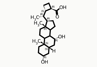 C[C@H]([C@@H]1CC[C@H]1C(=O)O)[C@H]1CCC2C3C(CC[C@@]21C)[C@@]1(C)CC[C@@H](O)C[C@H]1C[C@H]3O